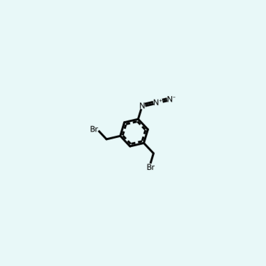 [N-]=[N+]=Nc1cc(CBr)cc(CBr)c1